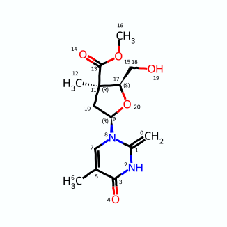 C=C1NC(=O)C(C)=CN1[C@H]1C[C@@](C)(C(=O)OC)[C@@H](CO)O1